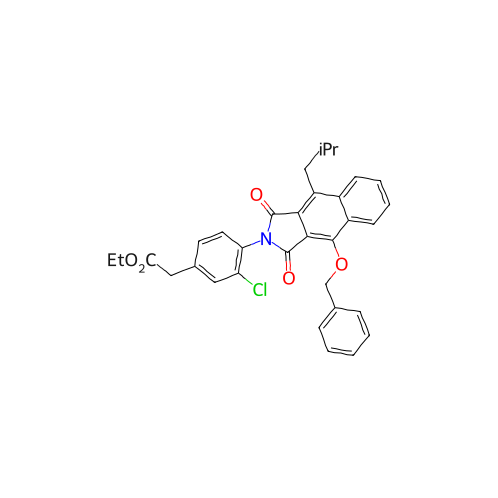 CCOC(=O)Cc1ccc(N2C(=O)c3c(c(OCc4ccccc4)c4ccccc4c3CC(C)C)C2=O)c(Cl)c1